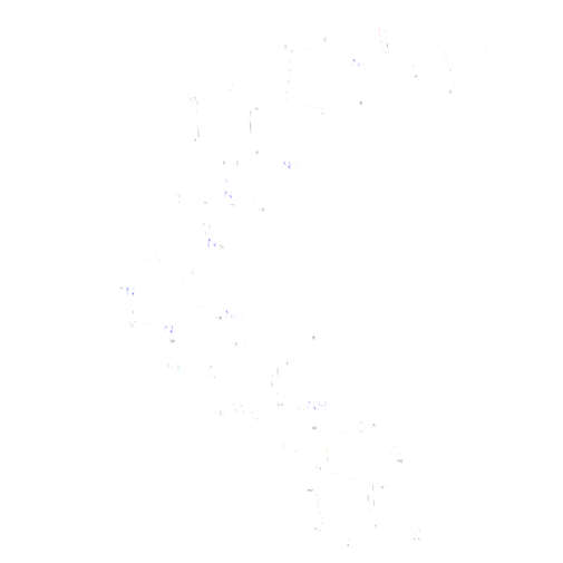 CC(C)(C)OC(=O)N1CCC(c2cccc3c2ncn3-c2ccc3ncnc(Nc4c(F)ccc(NS(=O)(=O)c5cccc(Cl)c5Cl)c4F)c3n2)CC1